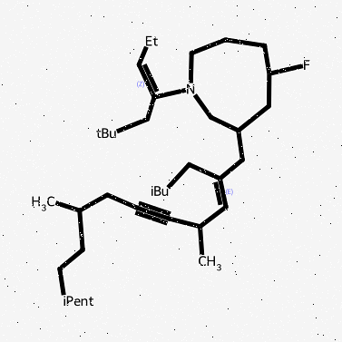 CC/C=C(/CC(C)(C)C)N1CCCC(F)CC(C/C(=C/C(C)C#CCC(C)CCC(C)CCC)CC(C)CC)C1